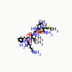 CC[C@H](C)[C@H](NC(=O)[C@H](Cc1ccccc1)NC(=O)[C@@H](N)CCCCN)C(=O)NCC(=O)N[C@@H](CC(C)C)C(=O)N[C@@H](CCSC)C(N)=O